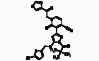 CC(C)(C)C(=O)n1nc(-c2c(C#N)ccn(CC(=O)c3cocn3)c2=O)cc1SCc1ccc(Cl)s1